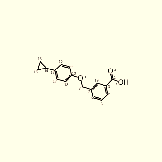 O=C(O)c1cccc(COc2ccc(C3CC3)cc2)c1